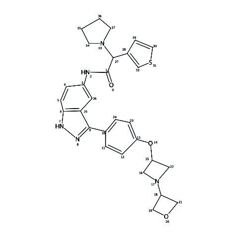 O=C(Nc1ccc2[nH]nc(-c3ccc(OC4CN(C5COC5)C4)cc3)c2c1)C(c1ccsc1)N1CCCC1